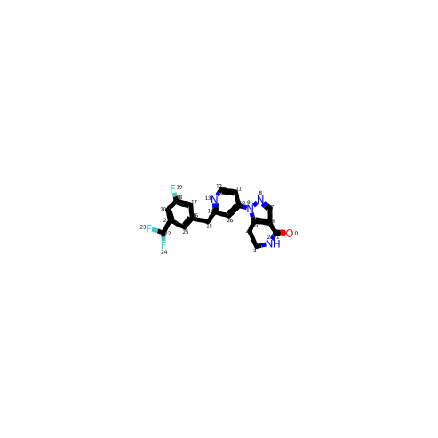 O=C1NCCc2c1cnn2-c1ccnc(Cc2cc(F)cc(C(F)F)c2)c1